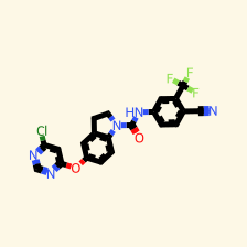 N#Cc1ccc(NC(=O)N2CCc3cc(Oc4cc(Cl)ncn4)ccc32)cc1C(F)(F)F